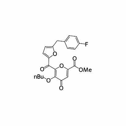 CCCCOc1c(C(=O)c2ccc(Cc3ccc(F)cc3)o2)oc(C(=O)OC)cc1=O